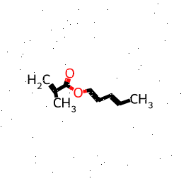 C=C(C)C(=O)OC=CC=CC